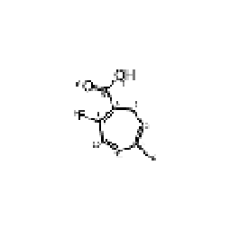 CC1=CCC(C(=O)O)=C(F)C=C1